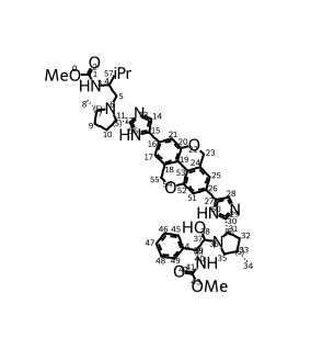 COC(=O)NC(CN1[C@@H](C)CC[C@H]1c1ncc(-c2cc3c4c(c2)OCc2cc(-c5cnc([C@@H]6C[C@H](C)CN6C(O)[C@H](NC(=O)OC)c6ccccc6)[nH]5)cc(c2-4)OC3)[nH]1)C(C)C